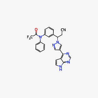 N#CCC(c1cccc(N(C(=O)C(F)(F)F)c2ccccc2)c1)n1cc(-c2ncnc3[nH]ccc23)cn1